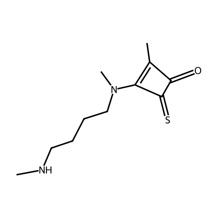 CNCCCCN(C)c1c(C)c(=O)c1=S